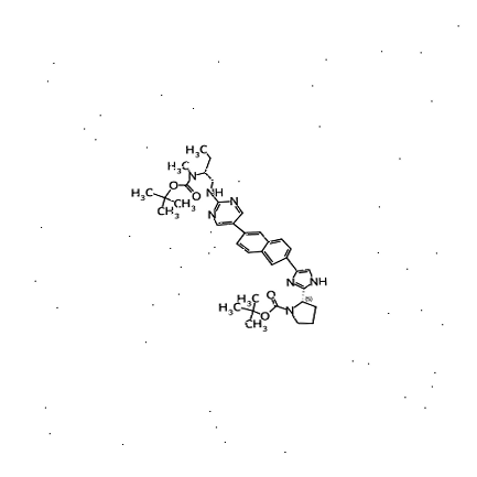 CCC(CNc1ncc(-c2ccc3cc(-c4c[nH]c([C@@H]5CCCN5C(=O)OC(C)(C)C)n4)ccc3c2)cn1)N(C)C(=O)OC(C)(C)C